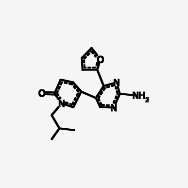 CC(C)Cn1cc(-c2cnc(N)nc2-c2ccco2)ccc1=O